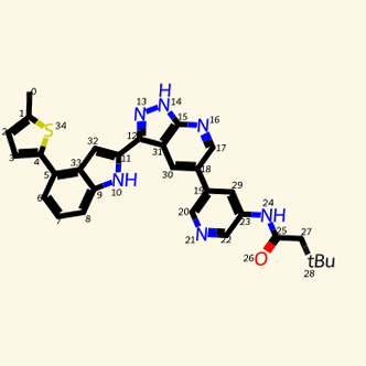 Cc1ccc(-c2cccc3[nH]c(-c4n[nH]c5ncc(-c6cncc(NC(=O)CC(C)(C)C)c6)cc45)cc23)s1